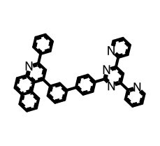 c1ccc(-c2cc(-c3cccc(-c4ccc(-c5nc(-c6ccccn6)cc(-c6ccccn6)n5)cc4)c3)c3c(ccc4ccccc43)n2)cc1